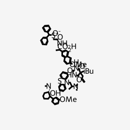 C=CCC1(C(C)CC)C(=O)NC(=O)NC1=O.CC(CN1c2ccccc2Sc2ccccc21)N(C)C.COc1ccc2cc([C@H](C)C(=O)O)ccc2c1.COc1cccc([C@@]2(O)CCCC[C@@H]2CN(C)C)c1.NC(=O)C[S+]([O-])C(c1ccccc1)c1ccccc1